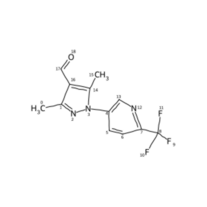 Cc1nn(-c2ccc(C(F)(F)F)nc2)c(C)c1C=O